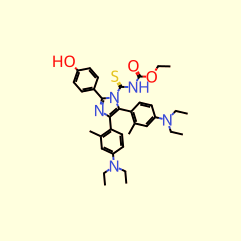 CCOC(=O)NC(=S)n1c(-c2ccc(O)cc2)nc(-c2ccc(N(CC)CC)cc2C)c1-c1ccc(N(CC)CC)cc1C